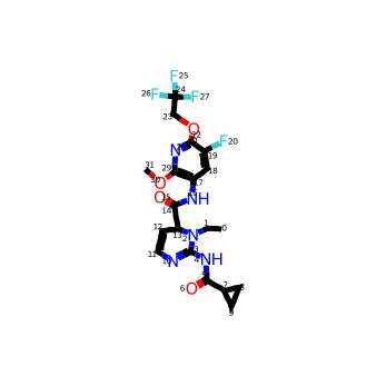 CCN1C(NC(=O)C2CC2)=NC=CC1C(=O)Nc1cc(F)c(OCC(F)(F)F)nc1OC